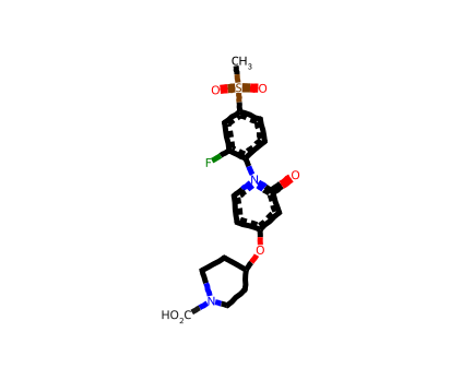 CS(=O)(=O)c1ccc(-n2ccc(OC3CCN(C(=O)O)CC3)cc2=O)c(F)c1